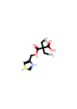 CCC(CC)(C(=O)O)C(=O)OCc1cscn1